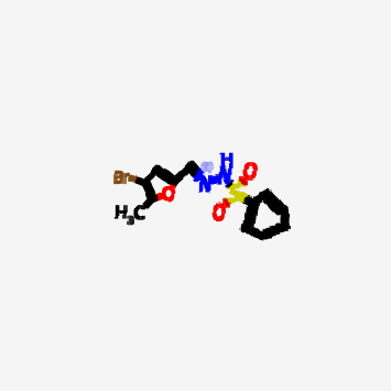 Cc1oc(/C=N/NS(=O)(=O)c2ccccc2)cc1Br